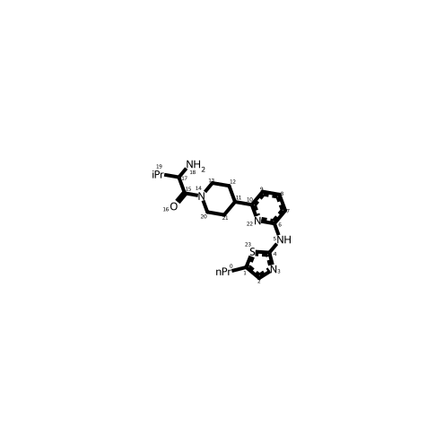 CCCc1cnc(Nc2cccc(C3CCN(C(=O)C(N)C(C)C)CC3)n2)s1